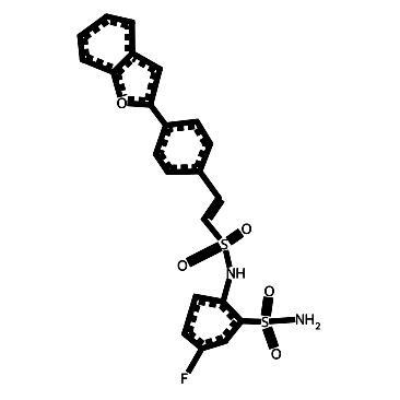 NS(=O)(=O)c1cc(F)ccc1NS(=O)(=O)C=Cc1ccc(-c2cc3ccccc3o2)cc1